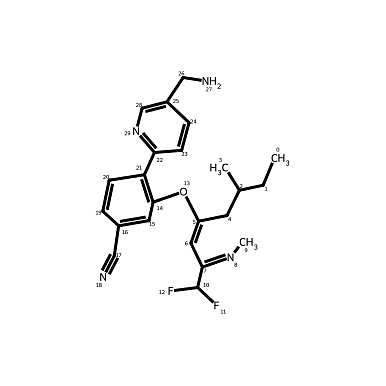 CCC(C)C/C(=C\C(=N/C)C(F)F)Oc1cc(C#N)ccc1-c1ccc(CN)cn1